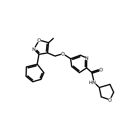 Cc1onc(-c2ccccc2)c1COc1ccc(C(=O)NC2CCOC2)nc1